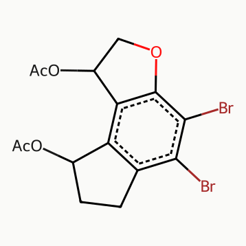 CC(=O)OC1CCc2c(Br)c(Br)c3c(c21)C(OC(C)=O)CO3